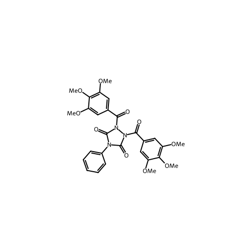 COc1cc(C(=O)n2c(=O)n(-c3ccccc3)c(=O)n2C(=O)c2cc(OC)c(OC)c(OC)c2)cc(OC)c1OC